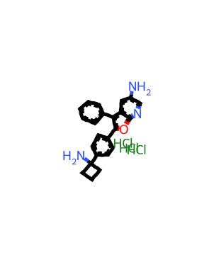 Cl.Cl.Cl.Nc1cnc2oc(-c3ccc(C4(N)CCC4)cc3)c(-c3ccccc3)c2c1